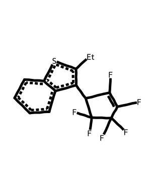 CCc1sc2ccccc2c1C1C(F)=C(F)C(F)(F)C1(F)F